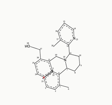 Cc1cccnc1C1CCCC(c2ncccc2C)N1Cc1ccccc1CO